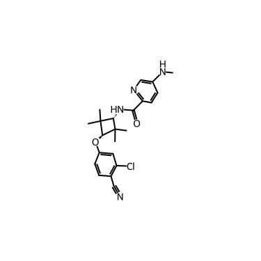 CNc1ccc(C(=O)N[C@H]2C(C)(C)[C@H](Oc3ccc(C#N)c(Cl)c3)C2(C)C)nc1